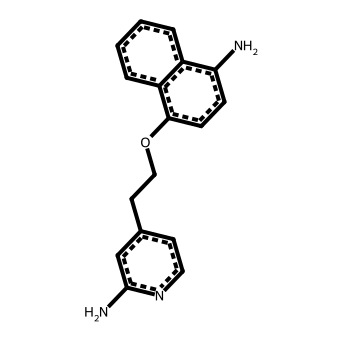 Nc1cc(CCOc2ccc(N)c3ccccc23)ccn1